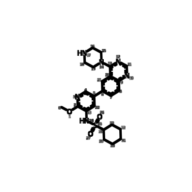 COc1ncc(-c2ccc3ncnc(N4CCNCC4)c3c2)cc1NS(=O)(=O)C1CCCCC1